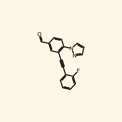 O=Cc1ccc(-n2cccn2)c(C#Cc2ccccc2F)c1